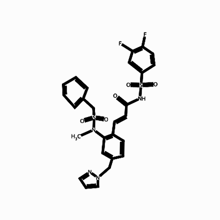 CN(c1cc(Cn2cccn2)ccc1C=CC(=O)NS(=O)(=O)c1ccc(F)c(F)c1)S(=O)(=O)Cc1ccccc1